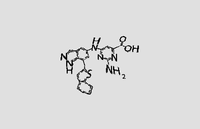 Nc1nc(Nc2cc(-c3cc4ccccc4s3)c3[nH]ncc3c2)cc(C(=O)O)n1